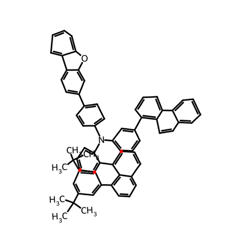 CC(C)(C)c1cc(-c2cccc3cccc(-c4ccccc4N(c4ccc(-c5ccc6c(c5)oc5ccccc56)cc4)c4cccc(-c5cccc6c5ccc5ccccc56)c4)c23)cc(C(C)(C)C)c1